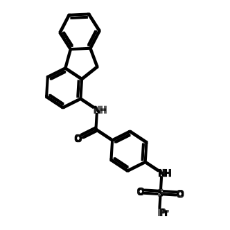 CC(C)S(=O)(=O)Nc1ccc(C(=O)Nc2cccc3c2Cc2ccccc2-3)cc1